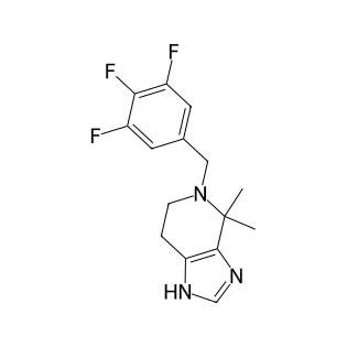 CC1(C)c2nc[nH]c2CCN1Cc1cc(F)c(F)c(F)c1